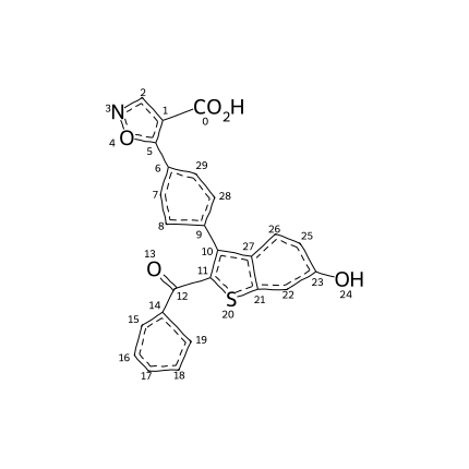 O=C(O)c1cnoc1-c1ccc(-c2c(C(=O)c3ccccc3)sc3cc(O)ccc23)cc1